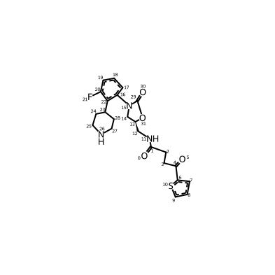 O=C(CCC(=O)c1cccs1)NC[C@H]1CN(c2cccc(F)c2C2CCNCC2)C(=O)O1